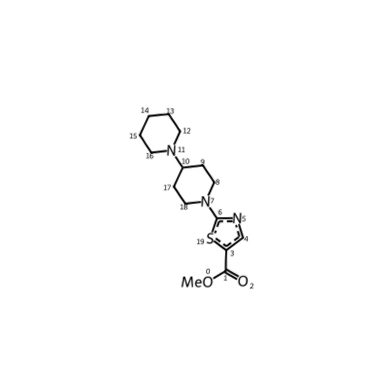 COC(=O)c1cnc(N2CCC(N3CCCCC3)CC2)s1